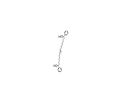 OC(CCCCCCCCSCCCCCCCCC(O)c1ccccc1)c1ccccc1